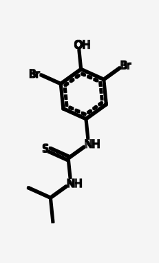 CC(C)NC(=S)Nc1cc(Br)c(O)c(Br)c1